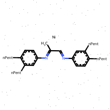 CCCCCc1ccc(N=CC(C)=Nc2ccc(CCCCC)c(CCCCC)c2)cc1CCCCC.[Ni]